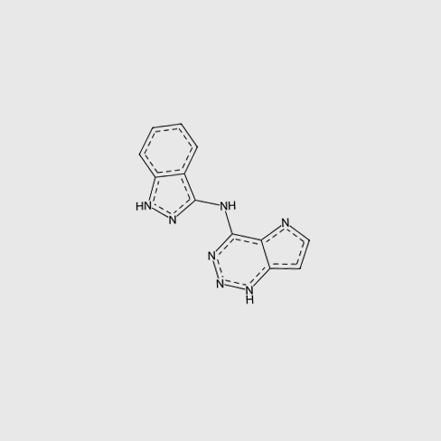 c1ccc2c(Nc3nn[nH]c4ccnc3-4)n[nH]c2c1